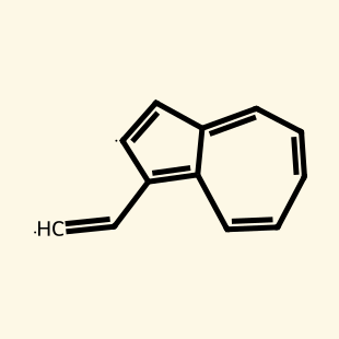 [CH]=Cc1[c]cc2cccccc1-2